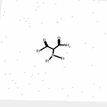 CCC(=O)C(C(N)=O)N(CC)CC